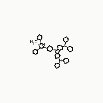 Cc1ccccc1-c1nc(-c2ccccc2)cc(-c2ccc(-n3c4ccc(N(c5ccccc5)c5ccccc5)cc4c4cc(N(c5ccccc5)c5ccccc5)ccc43)cc2)n1